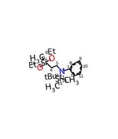 CCO[Si](C)(CCN(c1ccccc1)[Si](C)(C)C(C)(C)C)OCC